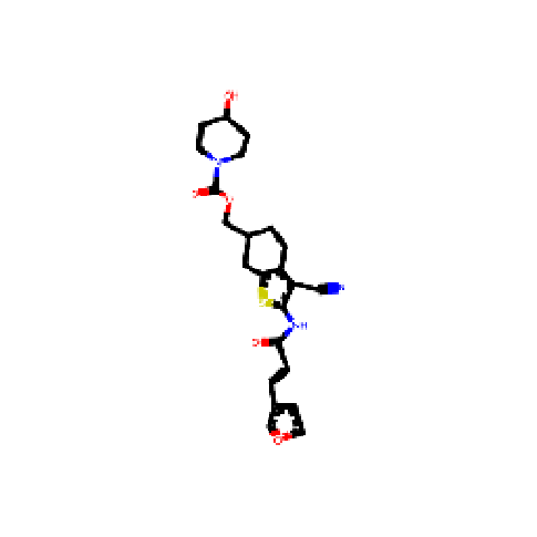 N#Cc1c(NC(=O)C=Cc2ccoc2)sc2c1CCC(COC(=O)N1CCC(O)CC1)C2